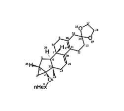 CCCCCCO[C@@]12C[C@@H]1C[C@H]1[C@@H]3CCC4=C(CCC5(C4)OCCO5)C3=CC[C@@]12C